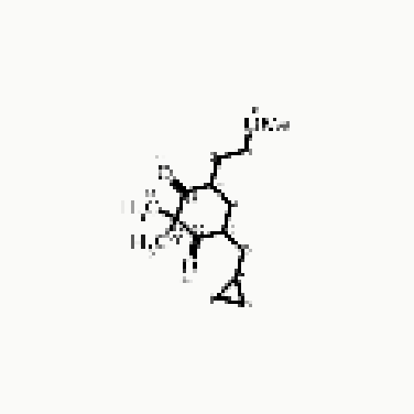 COCCC1CC(CC2CC2)C(=O)C(C)(C)C1=O